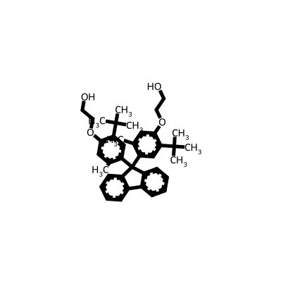 Cc1cc(OCCO)c(C(C)(C)C)cc1C1(c2cc(C(C)(C)C)c(OCCO)cc2C)c2ccccc2-c2ccccc21